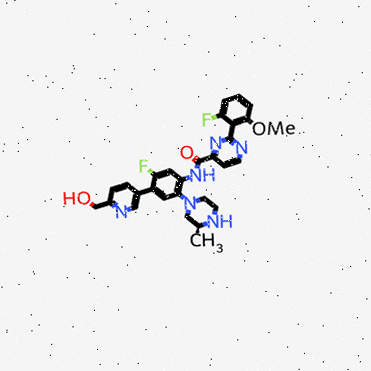 COc1cccc(F)c1-c1nccc(C(=O)Nc2cc(F)c(-c3ccc(CO)nc3)cc2N2CCN[C@@H](C)C2)n1